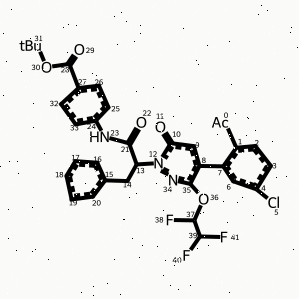 CC(=O)c1ccc(Cl)cc1-c1cc(=O)n(C(Cc2ccccc2)C(=O)Nc2ccc(C(=O)OC(C)(C)C)cc2)nc1OC(F)C(F)F